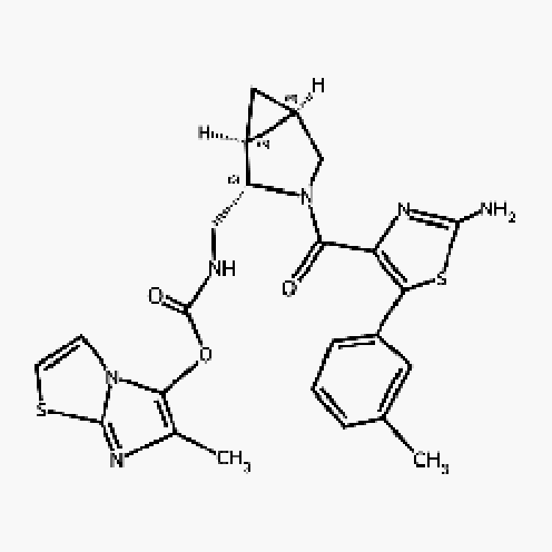 Cc1cccc(-c2sc(N)nc2C(=O)N2C[C@@H]3C[C@@H]3[C@H]2CNC(=O)Oc2c(C)nc3sccn23)c1